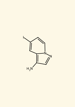 Nc1cnn2ccc(I)cc12